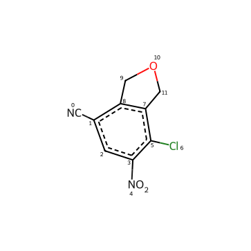 N#Cc1cc([N+](=O)[O-])c(Cl)c2c1COC2